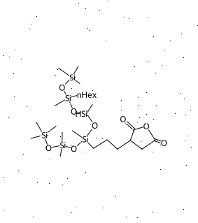 CCCCCC[Si](C)(O[SiH](C)O[Si](C)(CCCC1CC(=O)OC1=O)O[Si](C)(C)O[Si](C)(C)C)O[Si](C)(C)C